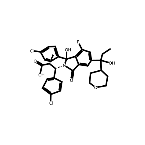 CCC(O)(c1cc(F)c2c(c1)C(=O)N([C@H](c1ccc(Cl)cc1)[C@H](C)C(=O)O)C2(O)c1ccc(Cl)cc1)C1CCOCC1